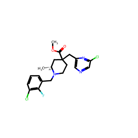 COC(=O)C1(Cc2cncc(Cl)n2)CCN(Cc2cccc(Cl)c2F)[C@H](C)C1